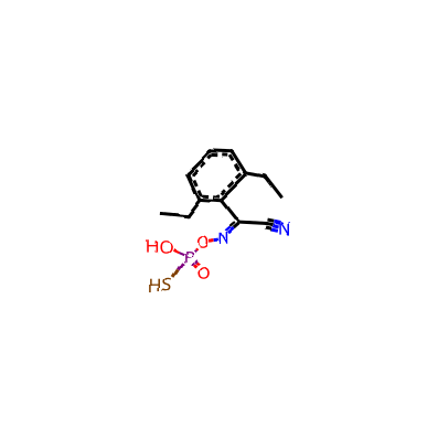 CCc1cccc(CC)c1/C(C#N)=N\OP(=O)(O)S